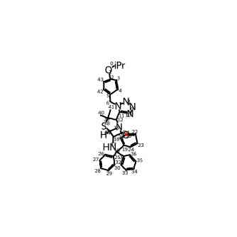 CC(C)Oc1ccc(Cn2nnnc2C2N3C(=O)C(NC(c4ccccc4)(c4ccccc4)c4ccccc4)[C@@H]3SC2(C)C)cc1